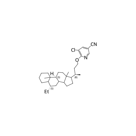 CC[C@H]1CC2C3CCC([C@H](C)CCOc4ncc(C#N)cc4Cl)C3(C)CC[C@@H]2C2(C)CCCCC12